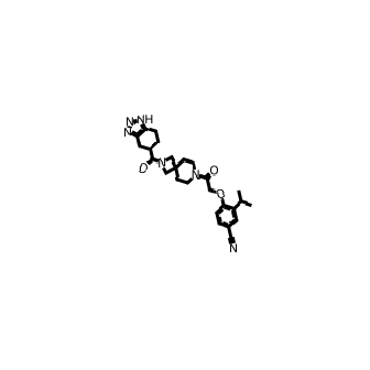 CC(C)c1cc(C#N)ccc1OCC(=O)N1CCC2(CC1)CN(C(=O)C1CCc3[nH]nnc3C1)C2